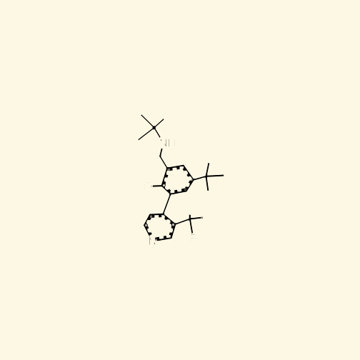 CC(C)(C)NCc1cc(C(C)(C)C)cc(-c2ccncc2C(F)(F)F)c1O